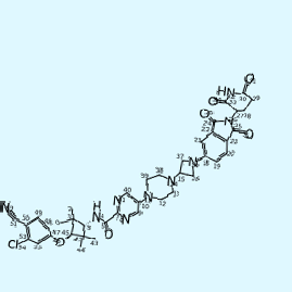 CC1(C)[C@H](NC(=O)c2ncc(N3CCN(C4CN(c5ccc6c(c5)C(=O)N(C5CCC(=O)NC5=O)C6=O)C4)CC3)cn2)C(C)(C)[C@H]1Oc1ccc(C#N)c(Cl)c1